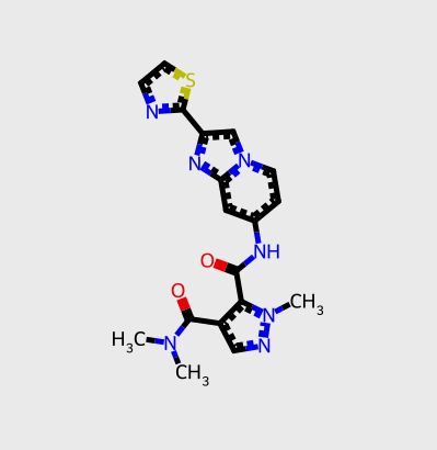 CN(C)C(=O)c1cnn(C)c1C(=O)Nc1ccn2cc(-c3nccs3)nc2c1